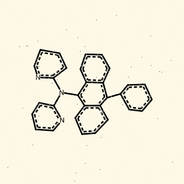 c1ccc(-c2c3ccccc3c(N(c3ccccn3)c3ccccn3)c3ccccc23)cc1